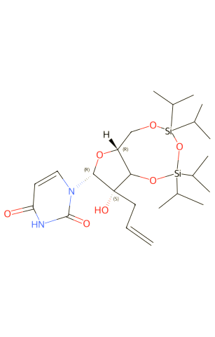 C=CC[C@]1(O)C2O[Si](C(C)C)(C(C)C)O[Si](C(C)C)(C(C)C)OC[C@H]2O[C@H]1n1ccc(=O)[nH]c1=O